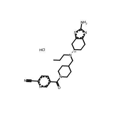 CCCN(CC1CCN(C(=O)c2ccc(C#N)nc2)CC1)[C@H]1CCc2nc(N)sc2C1.Cl